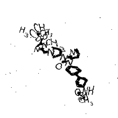 Cn1c(C(=O)OC(C)(C)C)cnc1CN1CC[C@H](n2c(=O)n(-c3ccc(-c4ccc(NS(C)(=O)=O)cc4)cc3)c3cccnc32)C1